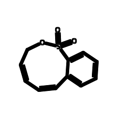 O=S1(=O)OCC=CC=Cc2ccccc21